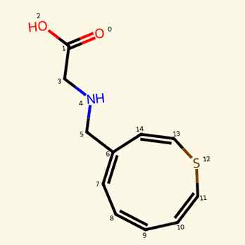 O=C(O)CNCc1cccccscc1